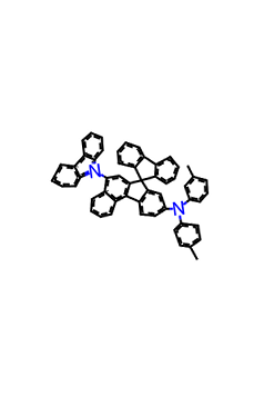 Cc1ccc(N(c2cccc(C)c2)c2ccc3c(c2)C2(c4ccccc4-c4ccccc42)c2cc(-n4c5ccccc5c5ccccc54)c4ccccc4c2-3)cc1